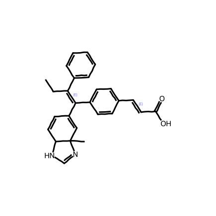 CC/C(=C(\C1=CC2(C)N=CNC2C=C1)c1ccc(/C=C/C(=O)O)cc1)c1ccccc1